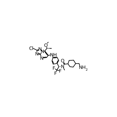 CO[C@@H](C)c1c(Nc2ccc([C@H](N(C)C(=O)C3CCC(CN)CC3)C(F)(F)F)cc2)cnc2nc(Cl)nn12